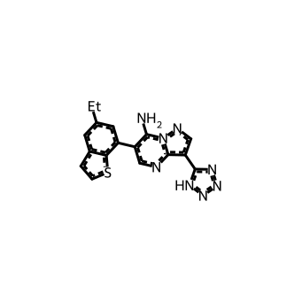 CCc1cc(-c2cnc3c(-c4nnn[nH]4)cnn3c2N)c2sccc2c1